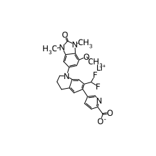 COc1cc(N2CCCc3cc(-c4ccc(C(=O)[O-])nc4)c(C(F)F)cc32)cc2c1n(C)c(=O)n2C.[Li+]